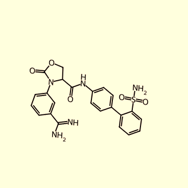 N=C(N)c1cccc(N2C(=O)OCC2C(=O)Nc2ccc(-c3ccccc3S(N)(=O)=O)cc2)c1